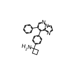 NC1(c2ccc(-c3c(-c4ccccc4)cnn4ccnc34)cc2)CCC1